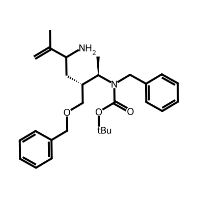 C=C(C)C(N)C[C@@H](COCc1ccccc1)[C@@H](C)N(Cc1ccccc1)C(=O)OC(C)(C)C